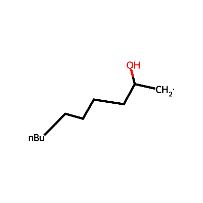 [CH2]CCCCCCCC([CH2])O